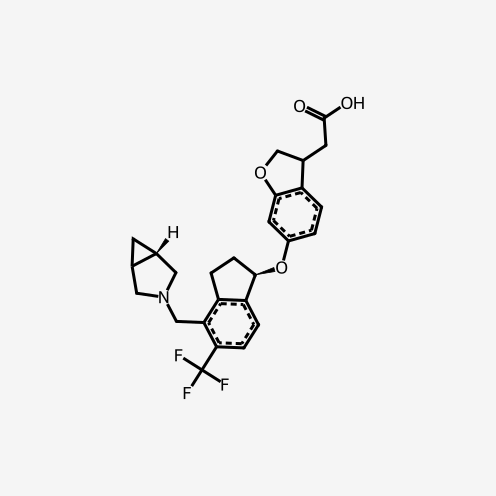 O=C(O)CC1COc2cc(O[C@@H]3CCc4c3ccc(C(F)(F)F)c4CN3CC4C[C@@H]4C3)ccc21